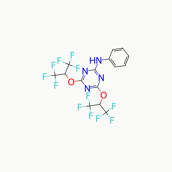 FC(F)(F)C(Oc1nc(Nc2ccccc2)nc(OC(C(F)(F)F)C(F)(F)F)n1)C(F)(F)F